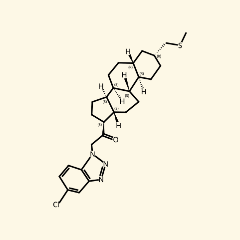 CSC[C@@H]1CC[C@@H]2[C@H](CC[C@H]3[C@H]2CC[C@H]2[C@H]3CC[C@@H]2C(=O)Cn2nnc3cc(Cl)ccc32)C1